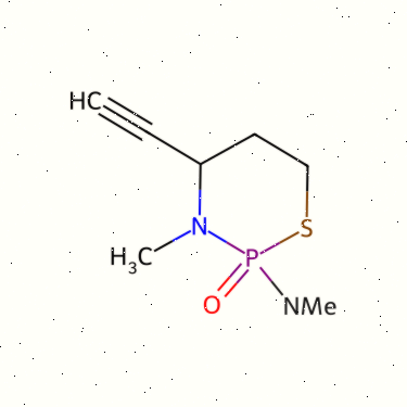 C#CC1CCSP(=O)(NC)N1C